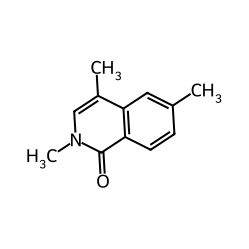 Cc1ccc2c(=O)n(C)cc(C)c2c1